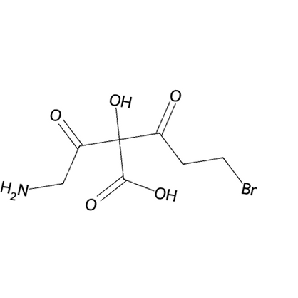 NCC(=O)C(O)(C(=O)O)C(=O)CCBr